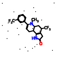 CN1C(c2cccc(C(F)(F)F)c2)=CCC2C3=C(CC(=O)N3)C(C(F)(F)F)CC21